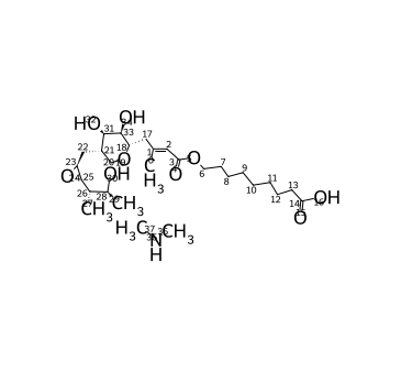 C/C(=C\C(=O)OCCCCCCCCC(=O)O)C[C@@H]1OC[C@H](C[C@@H]2O[C@H]2[C@@H](C)[C@H](C)O)[C@@H](O)[C@H]1O.CNC